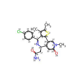 Cc1sc2c(c1C)C(c1ccc(Cl)cc1)=N[C@H](CC(N)=O)c1cc(=O)n(C)cc1-2